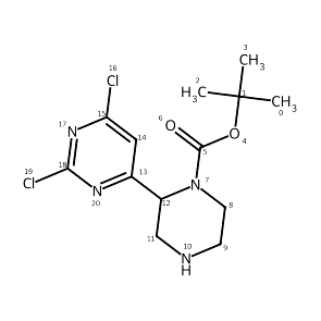 CC(C)(C)OC(=O)N1CCNCC1c1cc(Cl)nc(Cl)n1